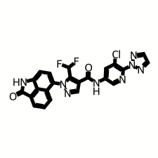 O=C(Nc1cnc(-n2nccn2)c(Cl)c1)c1cnn(-c2ccc3c4c(cccc24)C(=O)N3)c1C(F)F